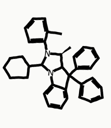 Cc1ccccc1N1C(C2CCCCC2)N2c3ccccc3C(c3ccccc3)(c3ccccc3)C2[C@@H]1C